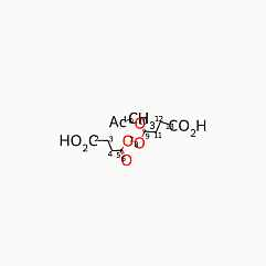 CC(C)=O.O=C(O)CCC(=O)OOC(=O)CCC(=O)O